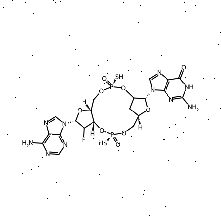 Nc1nc2c(ncn2[C@@H]2O[C@@H]3CO[P@@](=O)(S)O[C@@H]4C(F)[C@H](n5cnc6c(N)ncnc65)O[C@@H]4CO[P@@](=O)(S)OC2C3)c(=O)[nH]1